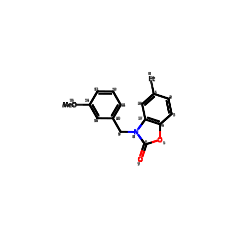 CCc1ccc2oc(=O)n(Cc3cccc(OC)c3)c2c1